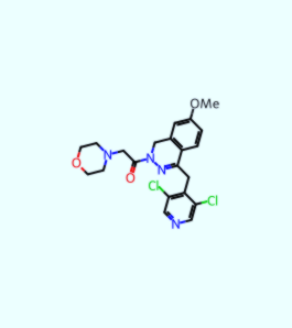 COc1ccc2c(c1)CN(C(=O)CN1CCOCC1)N=C2Cc1c(Cl)cncc1Cl